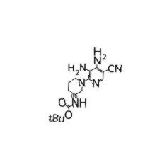 CC(C)(C)OC(=O)N[C@@H]1CCCN(c2ncc(C#N)c(N)c2N)C1